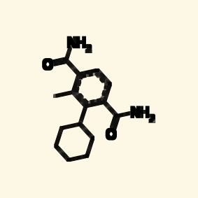 Cc1c(C(N)=O)ccc(C(N)=O)c1C1CCCCC1